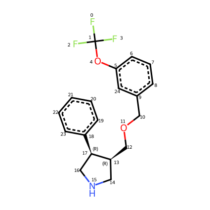 FC(F)(F)Oc1cccc(COC[C@H]2CNC[C@H]2c2ccccc2)c1